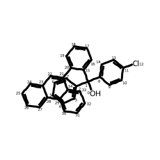 OC(c1ccccc1)(c1ccc(Cl)cc1)c1ccccc1-c1cc2ccccc2c2ccccc12